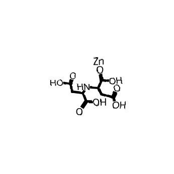 O=C(O)CC(NC(CC(=O)O)C(=O)O)C(=O)O.[Zn]